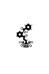 O=C(Nc1ccccc1C(=O)CCC(P(=O)(O)O)P(=O)(O)O)c1ccccc1